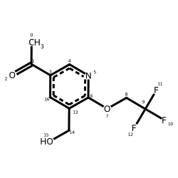 CC(=O)c1cnc(OCC(F)(F)F)c(CO)c1